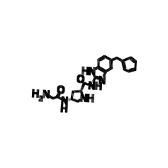 NCC(=O)N[C@H]1CN[C@H](C(=O)Nc2nc3cc(Cc4ccccc4)ccc3[nH]2)C1